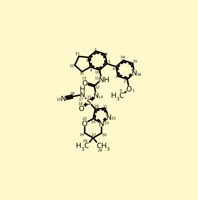 COc1cc(-c2ccc3c(c2NC(=O)N=[S@@](=O)(NC#N)c2cnn4c2OCC(C)(C)C4)CCC3)ccn1